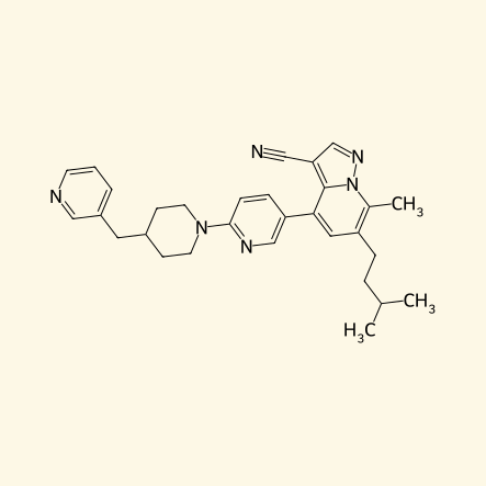 Cc1c(CCC(C)C)cc(-c2ccc(N3CCC(Cc4cccnc4)CC3)nc2)c2c(C#N)cnn12